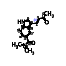 CC(=O)/C=C/c1c[nH]c2ncc(C(=O)N(C)C)cc12